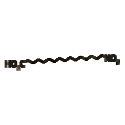 O=C(O)CCCCCCCCCCCCCCC[N+](=O)[O-]